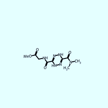 COC(=O)CNC(=O)C1=NNC(C(=O)N(C)C)=NN1